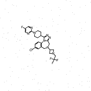 Fc1cnc(N2CCC(c3nnc4n3-c3ccc(Cl)cc3CN(C3CN(CC(F)(F)F)C3)C4)CC2)nc1